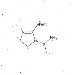 CCCCCC1=NCCN1C(C)N